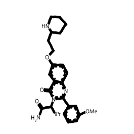 COc1cccc(-c2nc3ccc(OCCC4CCCCN4)cc3c(=O)n2C(C(N)=O)C(C)C)c1